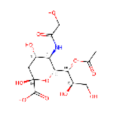 CC(=O)O[C@@H]([C@@H]1O[C@](O)(C(=O)O)C[C@H](O)[C@H]1NC(=O)CO)[C@H](O)CO